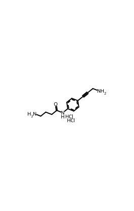 Cl.Cl.NCC#Cc1ccc(NC(=O)CCCN)cc1